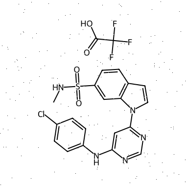 CNS(=O)(=O)c1ccc2ccn(-c3cc(Nc4ccc(Cl)cc4)ncn3)c2c1.O=C(O)C(F)(F)F